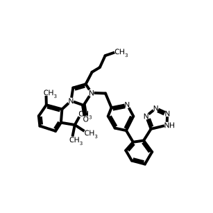 CCCCc1cn(-c2c(C)cccc2C(C)(C)C)c(=O)n1Cc1ccc(-c2ccccc2-c2nnn[nH]2)cn1